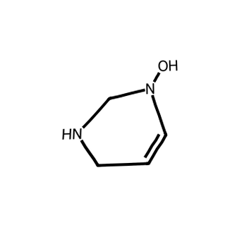 ON1C=CCNC1